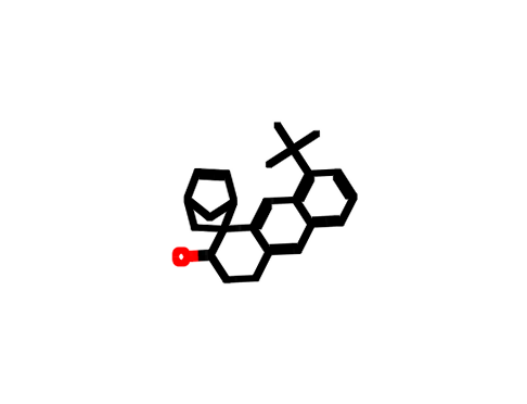 CC(C)(C)c1cccc2cc3c(cc12)C1(CC2C=CC1C2)C(=O)CC3